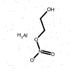 O=[N+]([O-])OCCO.[AlH3]